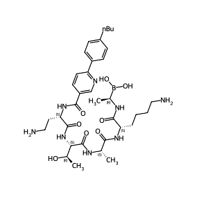 CCCCc1ccc(-c2ccc(C(=O)N[C@@H](CCN)C(=O)N[C@H](C(=O)N[C@@H](C)C(=O)N[C@@H](CCCCN)C(=O)N[C@@H](C)B(O)O)[C@@H](C)O)cn2)cc1